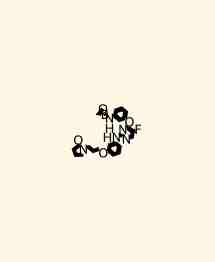 O=C1CCCN1CCCOc1cccc(Nc2ncc(F)c(Oc3cccc(NB4CO4)c3)n2)c1